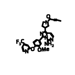 CC#CC(=O)N1CCC(c2nc(-c3ccc(Oc4cc(C(F)(F)F)ccn4)c(OC)c3)n3c(N)nccc23)C1